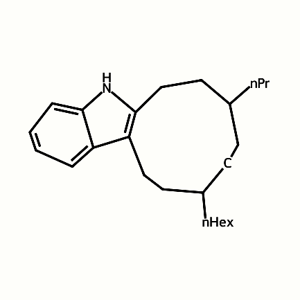 CCCCCCC1CCc2c([nH]c3ccccc23)CCC(CCC)CC1